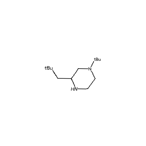 CC(C)(C)CC1CN(C(C)(C)C)CCN1